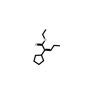 CCC=C(C(=O)OCC)C1CCCC1